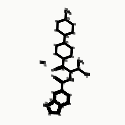 C[C@@H](O)[C@@H](NC(=O)c1ccc2cc[nH]c2c1)C(=O)N1CCC(C2CCN(C)CC2)CC1.Cl